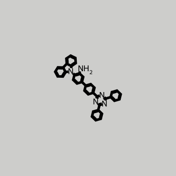 Nc1cc(-c2ccc(-c3nc(-c4ccccc4)nc(-c4ccccc4)n3)cc2)ccc1-n1c2ccccc2c2ccccc21